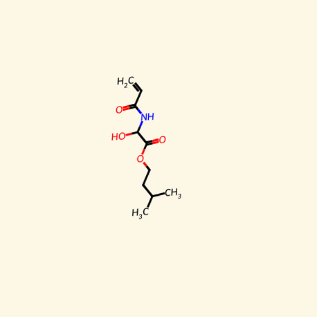 C=CC(=O)NC(O)C(=O)OCCC(C)C